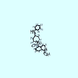 O=S(=O)(c1cccc2c(O)nccc12)N1CCC(Nc2ccccc2)CC1